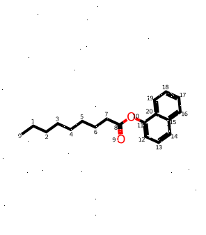 CCCCCCCCC(=O)Oc1cccc2ccccc12